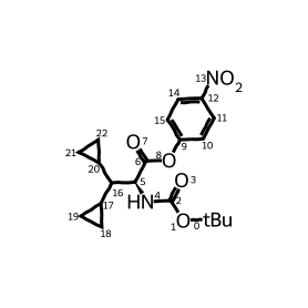 CC(C)(C)OC(=O)N[C@H](C(=O)Oc1ccc([N+](=O)[O-])cc1)C(C1CC1)C1CC1